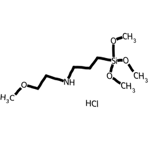 COCCNCCC[Si](OC)(OC)OC.Cl